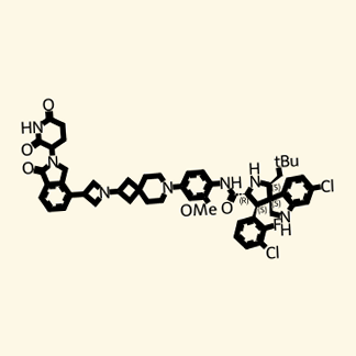 COc1cc(N2CCC3(CC2)CC(N2CC(c4cccc5c4CN(C4CCC(=O)NC4=O)C5=O)C2)C3)ccc1NC(=O)[C@@H]1N[C@@H](CC(C)(C)C)[C@@]2(CNc3cc(Cl)ccc32)[C@H]1c1cccc(Cl)c1F